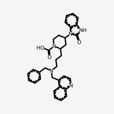 O=C(O)N1CCC(n2c(=O)[nH]c3ccccc32)CC1CCCN(Cc1ccccc1)Cc1ccnc2ccccc12